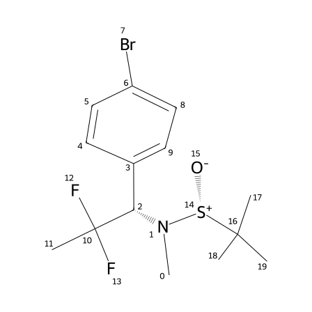 CN([C@@H](c1ccc(Br)cc1)C(C)(F)F)[S@+]([O-])C(C)(C)C